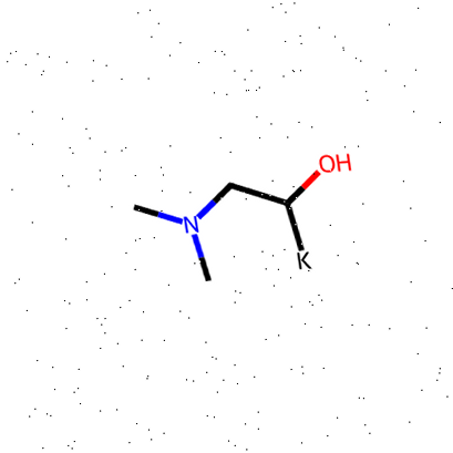 CN(C)C[CH](O)[K]